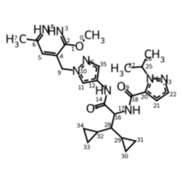 COC(=N)/C(=C\C(C)=N)Cn1cc(NC(=O)C(NC(=O)c2ccnn2C(C)C)C(C2CC2)C2CC2)cn1